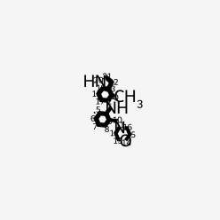 Cc1c(Nc2[c]cccc2CN2CCOCC2)ccc2[nH]ccc12